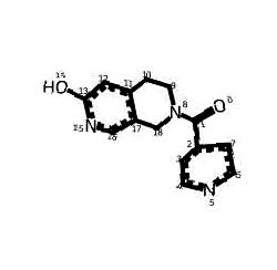 O=C(c1ccncc1)N1CCc2cc(O)ncc2C1